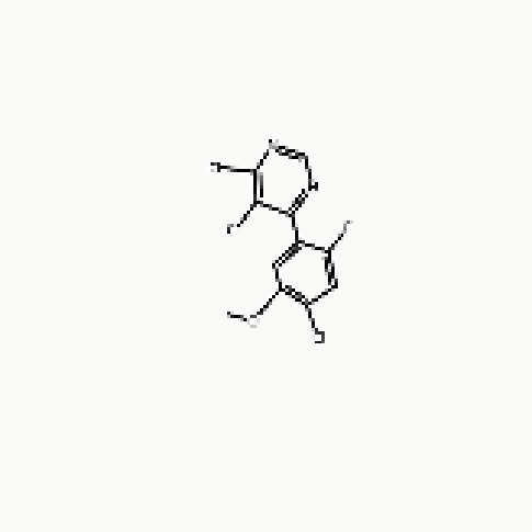 COc1cc(-c2ncnc(Cl)c2Cl)c(F)cc1Cl